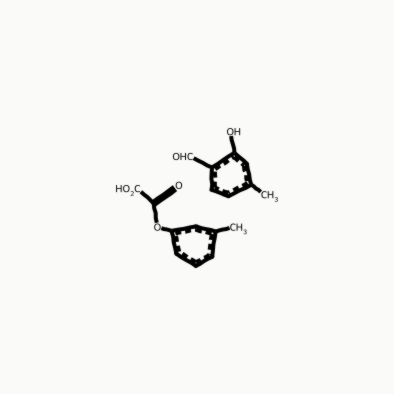 Cc1ccc(C=O)c(O)c1.Cc1cccc(OC(=O)C(=O)O)c1